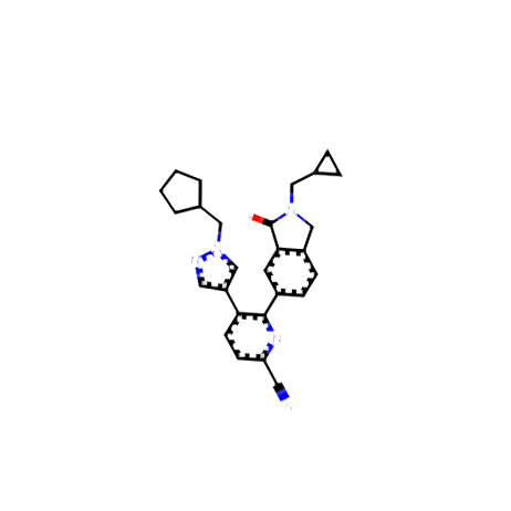 N#Cc1ccc(-c2cnn(CC3CCCC3)c2)c(-c2ccc3c(c2)C(=O)N(CC2CC2)C3)n1